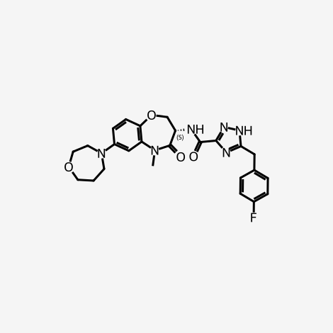 CN1C(=O)[C@@H](NC(=O)c2n[nH]c(Cc3ccc(F)cc3)n2)COc2ccc(N3CCCOCC3)cc21